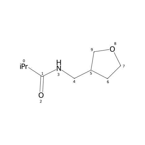 CC(C)C(=O)NCC1CCOC1